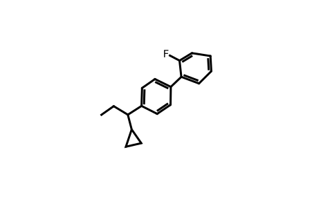 CCC(c1ccc(-c2ccccc2F)cc1)C1CC1